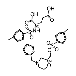 Cc1ccc(S(=O)(=O)N[C@@H](CCC(=O)O)C(=O)O)cc1.Cc1ccc(S(=O)(=O)OC[C@@H]2CN(Cc3ccccc3)CCO2)cc1